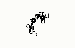 Cc1cc(N2CCC(c3cc(Cl)cc(Cl)c3)(C(F)(F)F)C2)ccc1SCC(=O)NCC(F)(F)F